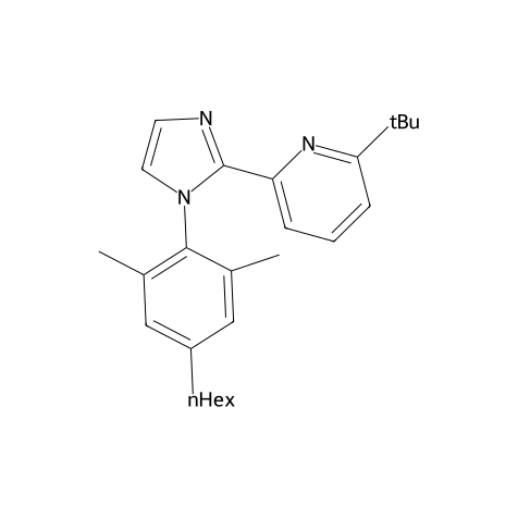 CCCCCCc1cc(C)c(-n2ccnc2-c2cccc(C(C)(C)C)n2)c(C)c1